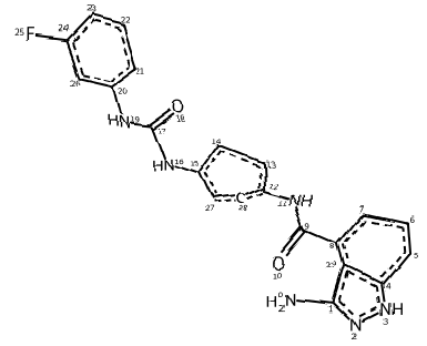 Nc1n[nH]c2cccc(C(=O)Nc3ccc(NC(=O)Nc4cccc(F)c4)cc3)c12